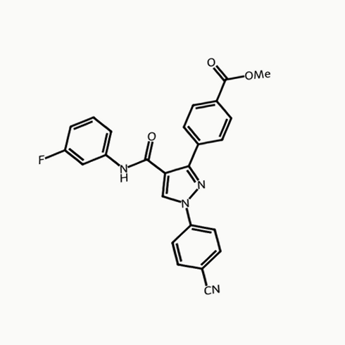 COC(=O)c1ccc(-c2nn(-c3ccc(C#N)cc3)cc2C(=O)Nc2cccc(F)c2)cc1